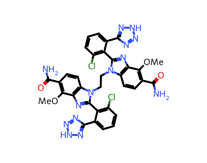 COc1c(C(N)=O)ccc2c1nc(-c1c(Cl)cccc1-c1nn[nH]n1)n2CCn1c(-c2c(Cl)cccc2-c2nn[nH]n2)nc2c(OC)c(C(N)=O)ccc21